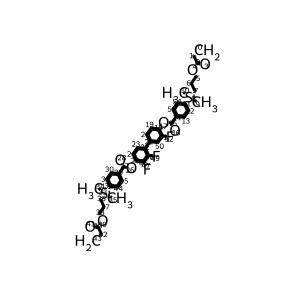 C=CC(=O)OCCC[Si](C)(C)c1ccc(C(=O)Oc2ccc(-c3ccc(OC(=O)c4ccc([Si](C)(C)CCCOC(=O)C=C)cc4)c(F)c3F)cc2F)cc1